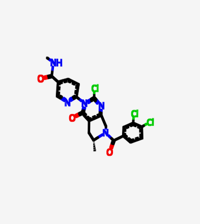 CNC(=O)c1ccc(-n2c(Cl)nc3c(c2=O)C[C@@H](C)N(C(=O)c2ccc(Cl)c(Cl)c2)C3)nc1